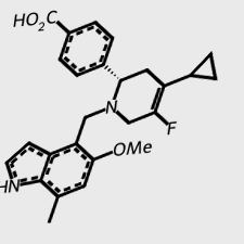 COc1cc(C)c2[nH]ccc2c1CN1CC(F)=C(C2CC2)C[C@H]1c1ccc(C(=O)O)cc1